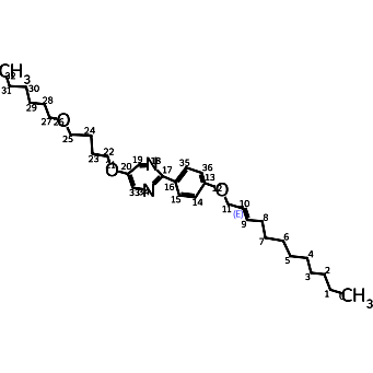 CCCCCCCCC/C=C/COc1ccc(-c2ncc(OCCCCOCCCCCC)cn2)cc1